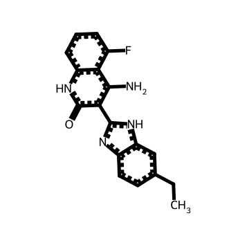 CCc1ccc2nc(-c3c(N)c4c(F)cccc4[nH]c3=O)[nH]c2c1